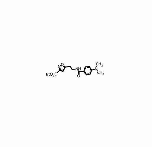 CCOC(=O)c1cc(CCNC(=O)c2ccc(N(C)C)cc2)on1